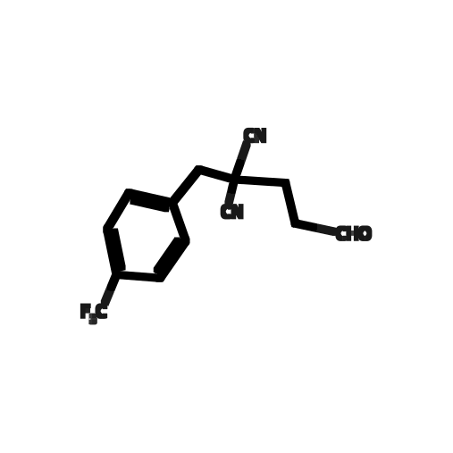 N#CC(C#N)(CCC=O)Cc1ccc(C(F)(F)F)cc1